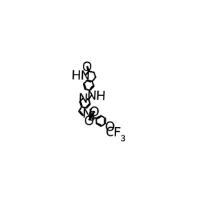 O=C1CCc2cc(Nc3cc4c(ccn4S(=O)(=O)c4ccc(OC(F)(F)F)cc4)cn3)ccc2N1